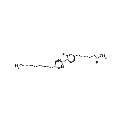 CCCCCCCCCc1cnc(-c2ccc(CCCCCC(C)F)cc2F)nc1